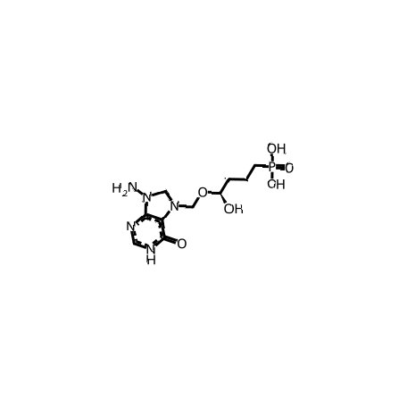 NN1CN(CO[C@H](O)[CH]CCP(=O)(O)O)c2c1nc[nH]c2=O